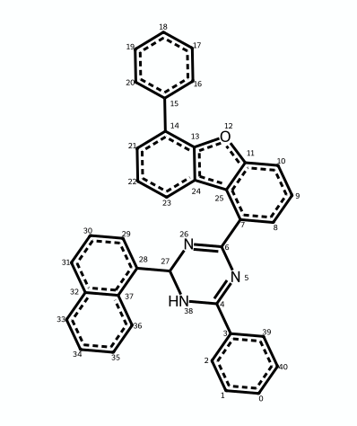 c1ccc(C2=NC(c3cccc4oc5c(-c6ccccc6)cccc5c34)=NC(c3cccc4ccccc34)N2)cc1